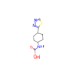 O=C(O)NC1CCC(c2nncs2)CC1